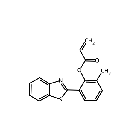 C=CC(=O)Oc1c(C)cccc1-c1nc2ccccc2s1